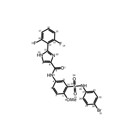 COc1ccc(NC(=O)c2c[nH]c(-c3c(F)cccc3F)n2)cc1S(=O)(=O)Nc1ccc(Br)cc1